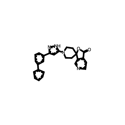 O=C1OC2(CCN(c3cc(-c4cccc(-c5ccccc5)c4)n[nH]3)CC2)c2cnccc21